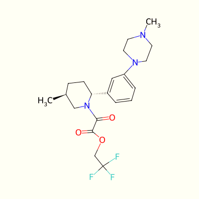 C[C@H]1CC[C@H](c2cccc(N3CCN(C)CC3)c2)N(C(=O)C(=O)OCC(F)(F)F)C1